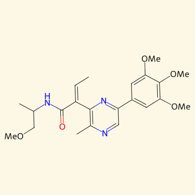 C/C=C(/C(=O)NC(C)COC)c1nc(-c2cc(OC)c(OC)c(OC)c2)cnc1C